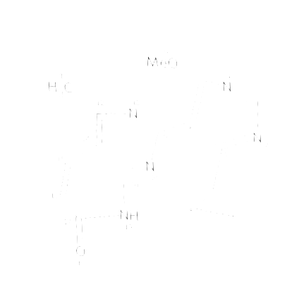 COc1ncnc(C2CC2)c1-c1nc(C)c2ccc(=O)[nH]c2n1